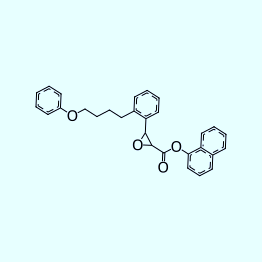 O=C(Oc1cccc2ccccc12)C1OC1c1ccccc1CCCCOc1ccccc1